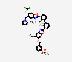 CNCc1cc2nc(-c3cccc(-c4cccc(-c5nc6cc(CN7CCC[C@H]7C(=O)O)c(OC(F)F)cc6o5)c4C)c3C)oc2cc1OCc1cccc(S(C)(=O)=O)c1